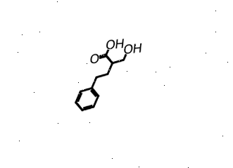 O=C(O)C(CO)CCc1ccccc1